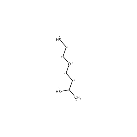 CC(S)CCOCCS